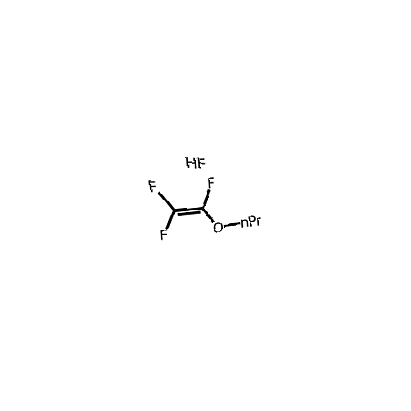 CCCOC(F)=C(F)F.F